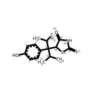 CC(C)C(c1ccc(O)cc1)(C(C)C)C1SC(=S)NC1=O